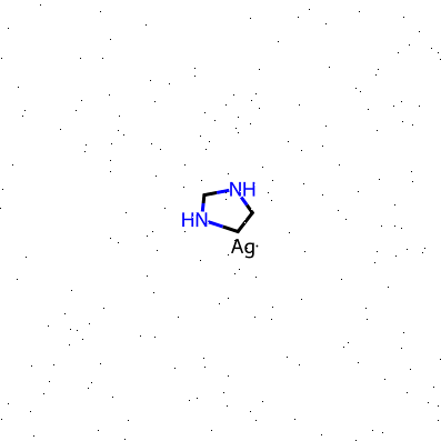 C1CNCN1.[Ag]